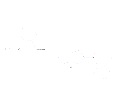 NC(=O)c1ccccc1[CH]CCN1CC2CN(C(=O)c3cccnc3Br)C[C@@H]2C1